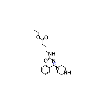 CCOC(=O)CCCNC(=O)/N=C(\c1ccccc1)N1CCNCC1